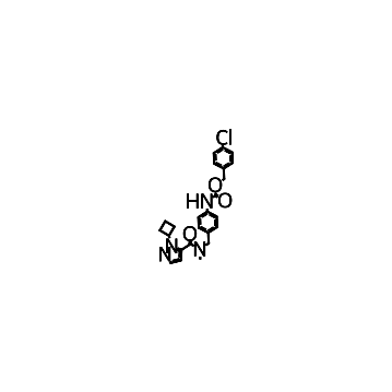 CN(Cc1ccc(NC(=O)OCc2ccc(Cl)cc2)cc1)C(=O)c1ccnn1C1CCC1